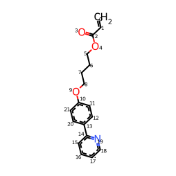 C=CC(=O)OCCCCOc1ccc(-c2cc[c]cn2)cc1